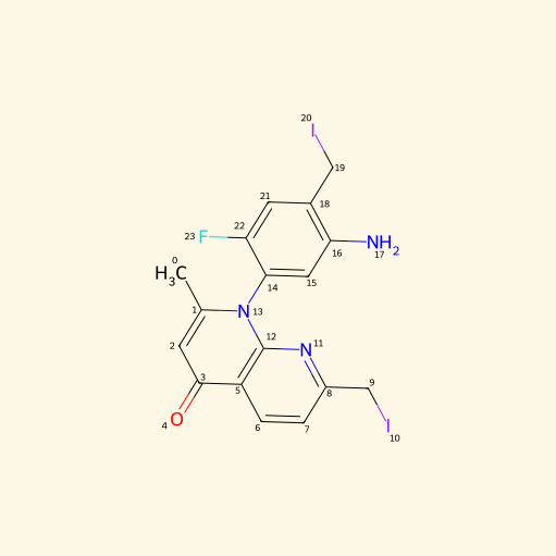 Cc1cc(=O)c2ccc(CI)nc2n1-c1cc(N)c(CI)cc1F